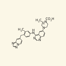 Cc1cc(Nc2ncnc3ccc(N4CCN(C(=O)O)[C@H](C)C4)cc23)ccc1Cc1ccn2ncnc2c1